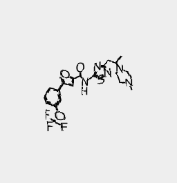 CC(Cc1nsc(NC(=O)c2cc(-c3cccc(OC(F)(F)F)c3)co2)n1)N1CCN(C)CC1